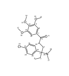 CCC(CCC(=O)c1cc(OC)c(OC)c(OC)c1)(c1ccc(Cl)cc1)N(C)C